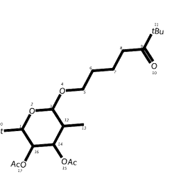 CCC1OC(OCCCCC(=O)C(C)(C)C)C(C)C(OC(C)=O)C1OC(C)=O